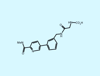 CNC(=O)c1ccc(-c2cccc(CNC(=O)CNC(=O)O)c2)cn1